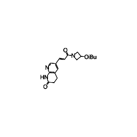 CC(C)COC1CN(C(=O)C=Cc2cnc3c(c2)CCC(=O)N3)C1